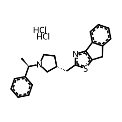 C[C@H](c1ccccc1)N1CC[C@H](Cc2nc3c(s2)Cc2ccccc2-3)C1.Cl.Cl